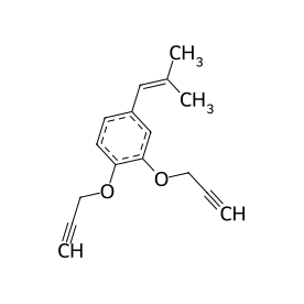 C#CCOc1ccc(C=C(C)C)cc1OCC#C